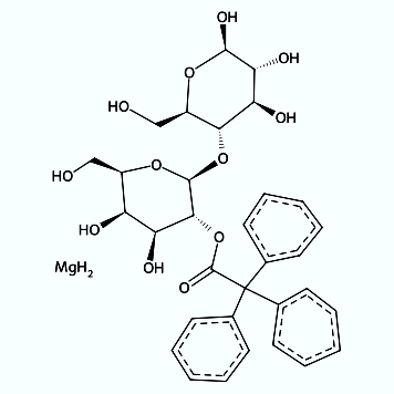 O=C(O[C@H]1[C@H](O[C@H]2[C@H](O)[C@@H](O)[C@H](O)O[C@@H]2CO)O[C@H](CO)[C@H](O)[C@@H]1O)C(c1ccccc1)(c1ccccc1)c1ccccc1.[MgH2]